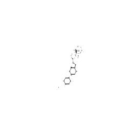 COc1ccc(-c2ccc3cc(C(=O)N[C@H]4CN5CCC4CC5)oc3c2)cc1